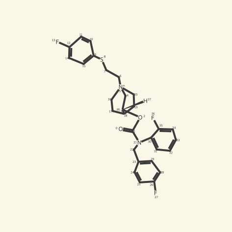 O=C(O[C@H]1C[N+]2(CCSc3ccc(F)cc3)CCC1CC2)N(Cc1ccc(F)cc1)c1ccccc1F